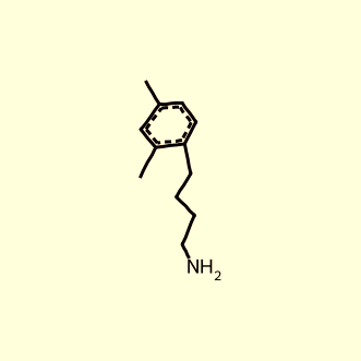 Cc1ccc(CCCCN)c(C)c1